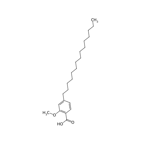 CCCCCCCCCCCCCCCc1ccc(C(=O)O)c(OC)c1